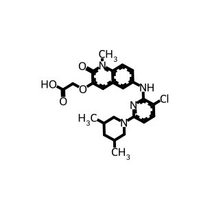 CC1CC(C)CN(c2ccc(Cl)c(Nc3ccc4c(c3)cc(OCC(=O)O)c(=O)n4C)n2)C1